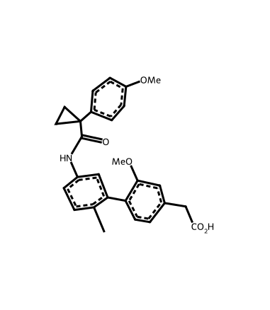 COc1ccc(C2(C(=O)Nc3ccc(C)c(-c4ccc(CC(=O)O)cc4OC)c3)CC2)cc1